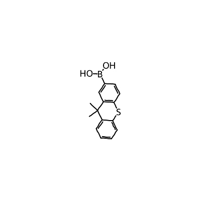 CC1(C)c2ccccc2Sc2ccc(B(O)O)cc21